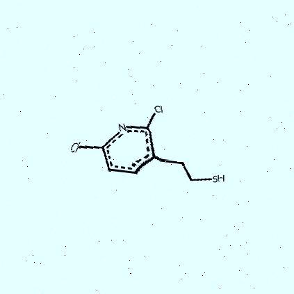 SCCc1ccc(Cl)nc1Cl